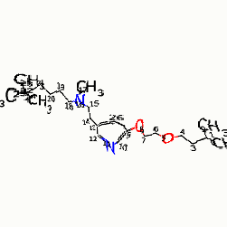 CC(C)CCOCCOc1cncc(CCN(C)CCCCC(C)(C)C)c1